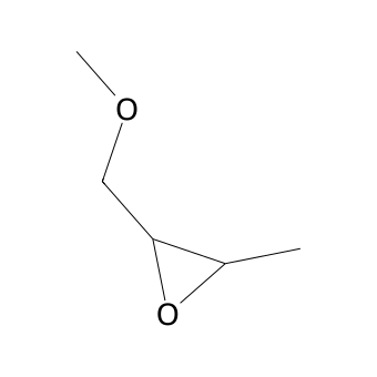 COCC1OC1C